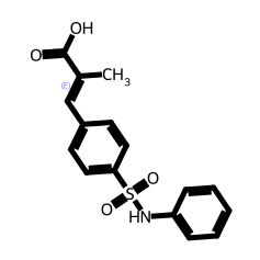 C/C(=C\c1ccc(S(=O)(=O)Nc2ccccc2)cc1)C(=O)O